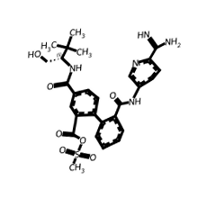 CC(C)(C)[C@@H](CO)NC(=O)c1ccc(-c2ccccc2C(=O)Nc2ccc(C(=N)N)nc2)c(C(=O)OS(C)(=O)=O)c1